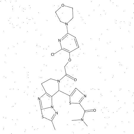 Cc1nn2c3c(nc2s1)CCN(C(=O)COc1ccc(N2CCOCC2)nc1Cl)C3c1cnc(C(=O)N(C)C)s1